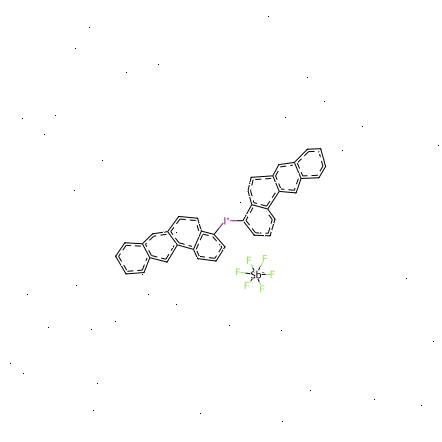 [F][Sb-]([F])([F])([F])([F])[F].c1ccc2cc3c(ccc4c([I+]c5cccc6c5ccc5cc7ccccc7cc56)cccc43)cc2c1